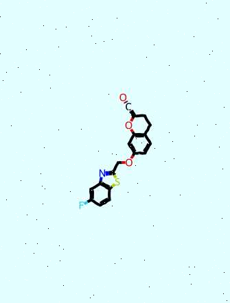 O=C=C1CCc2ccc(OCc3nc4cc(F)ccc4s3)cc2O1